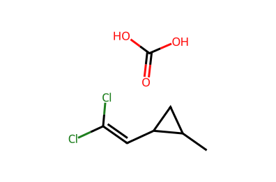 CC1CC1C=C(Cl)Cl.O=C(O)O